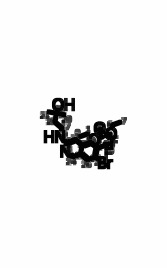 CCOP(=O)(OCC)C(F)(F)c1cc2cc(NCCC(C)(C)O)ncc2cc1Br